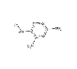 CC(C)Nc1ncc([N+](=O)[O-])cc1[N+](=O)[O-]